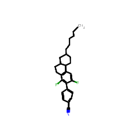 CCCCCCC1CCC2c3cc(F)c(-c4ccc(C#N)cc4)c(F)c3CCC2C1